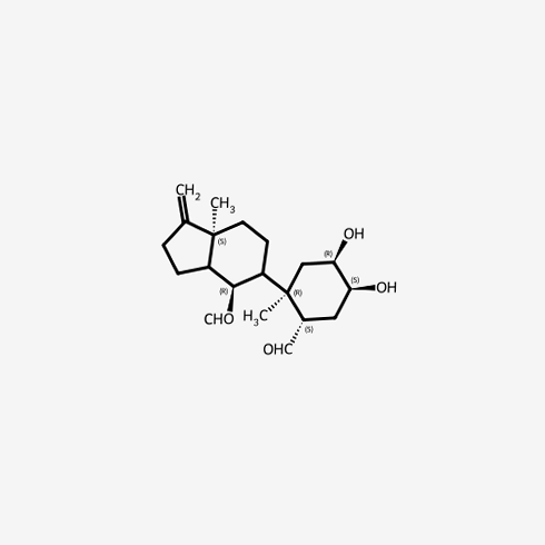 C=C1CCC2[C@H](C=O)C([C@@]3(C)C[C@@H](O)[C@@H](O)C[C@@H]3C=O)CC[C@]12C